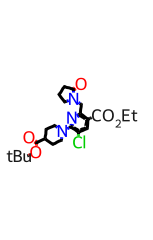 CCOC(=O)c1cc(Cl)c(N2CCC(C(=O)OC(C)(C)C)CC2)nc1CN1CCCC1=O